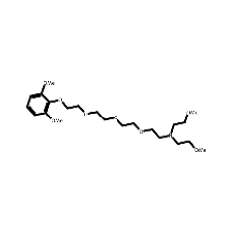 COCCN(CCOC)CCOCCOCCOCCOc1c(OC)cccc1OC